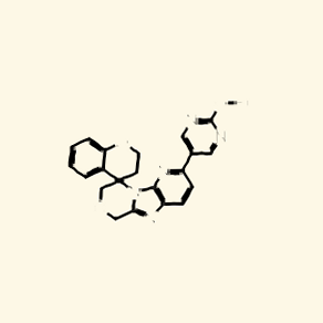 CCOc1ncc(-c2ccc3nc4n(c3n2)C2(CCOc3ccccc32)COC4)cn1